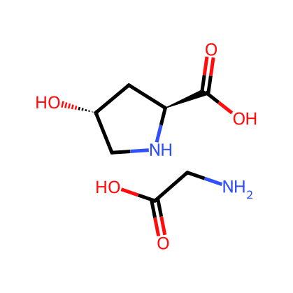 NCC(=O)O.O=C(O)[C@@H]1C[C@@H](O)CN1